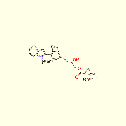 CCCCCn1c(-c2ccc(OCC(O)COC(=O)C(C)(NC)C(C)C)cc2C(F)(F)F)cc2ccccc21